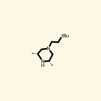 C[C@@H]1CN(CCC(C)(C)C)C[C@H](C)N1